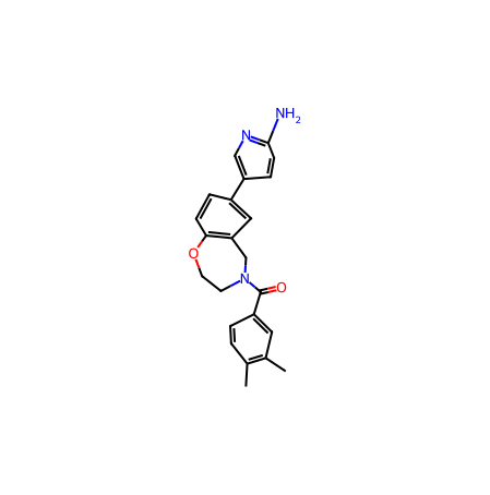 Cc1ccc(C(=O)N2CCOc3ccc(-c4ccc(N)nc4)cc3C2)cc1C